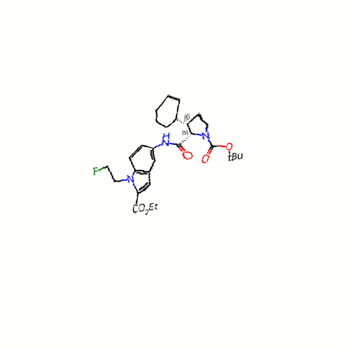 CCOC(=O)c1cc2cc(NC(=O)[C@@H]3[C@H](C4CCCCC4)CCN3C(=O)OC(C)(C)C)ccc2n1CCF